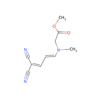 COC(=O)CN(C)/C=C/C=C(C#N)C#N